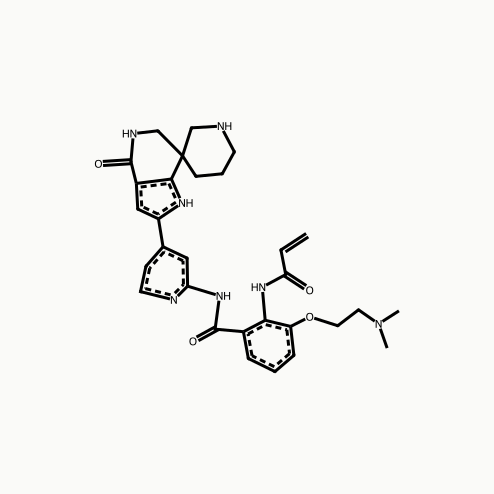 C=CC(=O)Nc1c(OCCN(C)C)cccc1C(=O)Nc1cc(-c2cc3c([nH]2)C2(CCCNC2)CNC3=O)ccn1